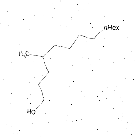 CCCCCCCCCCC(C)CCCO